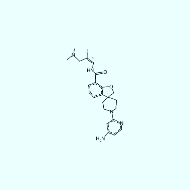 C/C(=C/NC(=O)c1cccc2c1OCC21CCN(c2cc(N)ccn2)CC1)CN(C)C